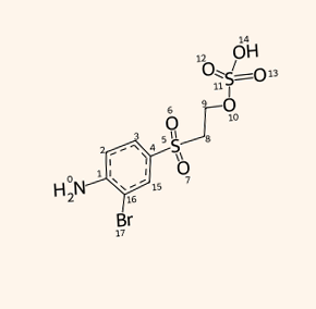 Nc1ccc(S(=O)(=O)CCOS(=O)(=O)O)cc1Br